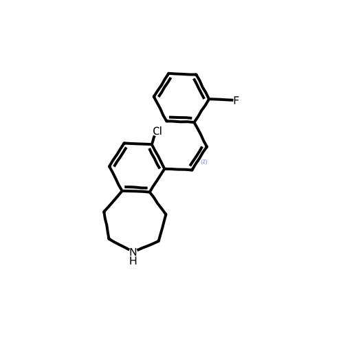 Fc1ccccc1/C=C\c1c(Cl)ccc2c1CCNCC2